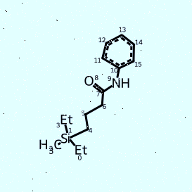 CC[Si](C)(CC)CCCC(=O)Nc1ccccc1